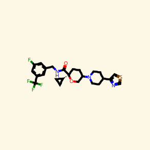 O=C(NCc1cc(F)cc(C(F)(F)F)c1)[C@@]1(C2CC2)CCC(N2CCC(c3cscn3)CC2)CO1